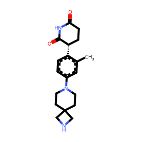 Cc1cc(N2CCC3(CC2)CNC3)ccc1[C@H]1CCC(=O)NC1=O